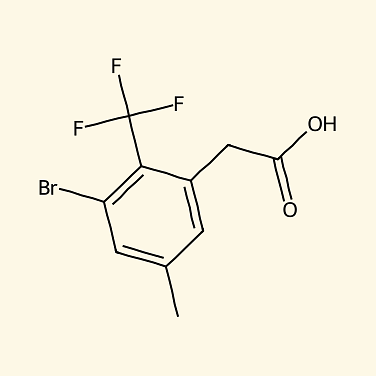 Cc1cc(Br)c(C(F)(F)F)c(CC(=O)O)c1